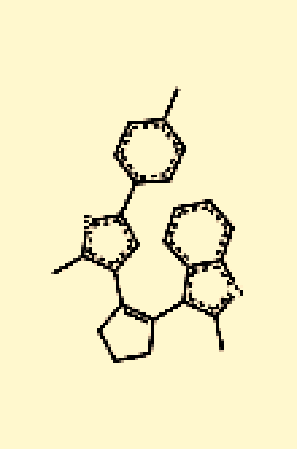 Cc1ccc(-c2cc(C3=C(c4c(C)sc5ccccc45)CCC3)c(C)s2)cc1